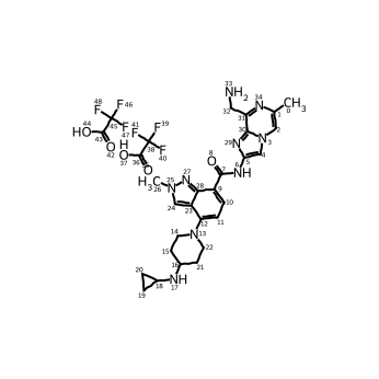 Cc1cn2cc(NC(=O)c3ccc(N4CCC(NC5CC5)CC4)c4cn(C)nc34)nc2c(CN)n1.O=C(O)C(F)(F)F.O=C(O)C(F)(F)F